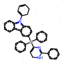 C1=CCCC(n2c3ccccc3c3cc([Si](C4=CCNC(c5ccccc5)=N4)(c4ccccc4)c4ccccc4)ccc32)=C1